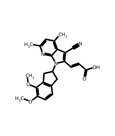 COc1ccc2c(c1OC)CC(n1c(C=CC(=O)O)c(C#N)c3c(C)cc(C)nc31)C2